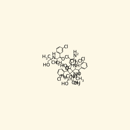 CC(CO)NC(C(=O)c1cccc(Cl)c1)C(NC(C)(C)CO)(C(=O)c1cc(Cl)c(N)c(Cl)c1)C(C)(NC(C)CO)C(=O)c1cccc(Cl)c1.CC(NC(C)(C)CO)C(=O)c1cccc(Cl)c1